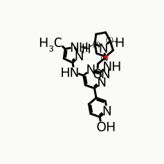 Cc1cc(Nc2cc(-c3ccc(O)nc3)nc(N[C@@H]3C[C@H]4CC[C@@H](C3)N4CCC#N)n2)n[nH]1